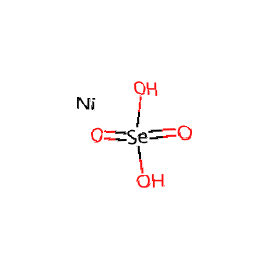 O=[Se](=O)(O)O.[Ni]